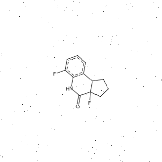 O=C1Nc2c(F)cccc2C2CCCC12F